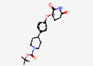 CC(C)(C)OC(=O)N1CCC(c2ccc(O[C@@H]3CCC(=O)NC3=O)cc2)CC1